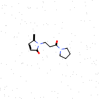 C=C1C=CC(=O)N1CCC(=O)N1CC[C@H](C)C1